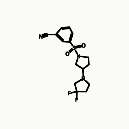 N#Cc1cccc(S(=O)(=O)N2CCC(N3CCC(F)(F)C3)C2)c1